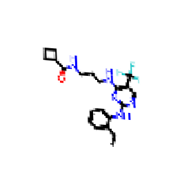 CCc1ccccc1Nc1ncc(C(F)(F)F)c(NCCCNC(=O)C2CCC2)n1